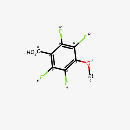 CCOc1c(F)c(F)c(C(=O)O)c(F)c1F